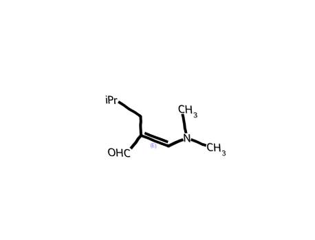 CC(C)C/C(C=O)=C\N(C)C